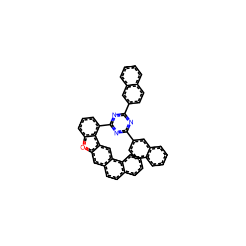 c1ccc2cc(-c3nc(-c4ccc5ccccc5c4)nc(-c4cccc5oc6cc7ccc8ccccc8c7cc6c45)n3)ccc2c1